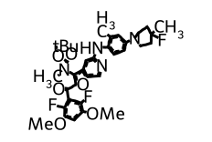 COc1cc(OC)c(F)c(C(=O)c2oc3cnc(Nc4ccc(N5CCC(C)(F)CC5)cc4C)cc3c2N(C)C(=O)OC(C)(C)C)c1F